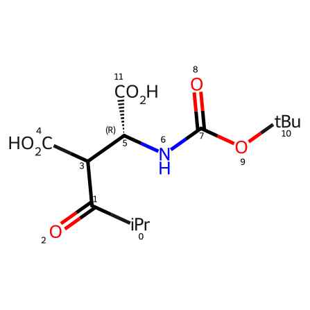 CC(C)C(=O)C(C(=O)O)[C@@H](NC(=O)OC(C)(C)C)C(=O)O